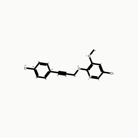 COc1cc(Cl)cnc1OCC#Cc1ccc(Cl)cc1